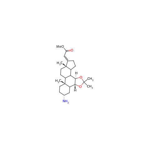 COC(=O)/C=C1\CCC2C3C(CC[C@]12C)[C@@]1(C)CC[C@@H](N)CC1[C@H]1OC(C)(C)O[C@H]31